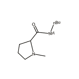 [CH2]CCCNC(=O)C1CCCN1C